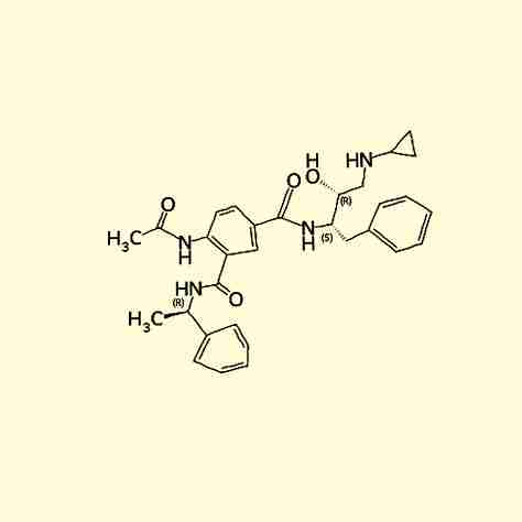 CC(=O)Nc1ccc(C(=O)N[C@@H](Cc2ccccc2)[C@H](O)CNC2CC2)cc1C(=O)N[C@H](C)c1ccccc1